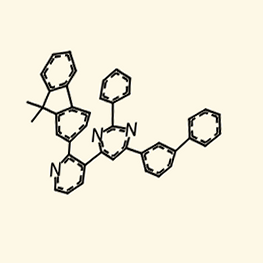 CC1(C)c2ccccc2-c2ccc(-c3ncccc3-c3cc(-c4cccc(-c5ccccc5)c4)nc(-c4ccccc4)n3)cc21